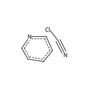 N#CCl.c1ccncc1